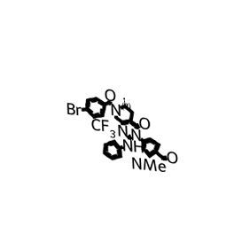 CNC(=O)c1ccc(-n2c(Nc3ccccc3)nc3c(c2=O)C[C@@H](C)N(C(=O)c2ccc(Br)c(C(F)(F)F)c2)C3)cc1